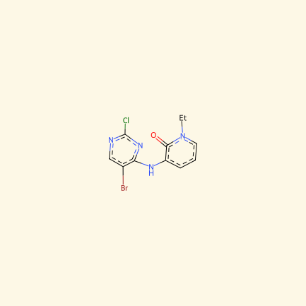 CCn1cccc(Nc2nc(Cl)ncc2Br)c1=O